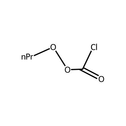 CCCOOC(=O)Cl